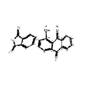 O=C1OC(=O)c2ccccc21.O=C1c2ccccc2C(=O)c2c(O)cccc21